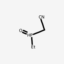 CC[PH](=O)CC#N